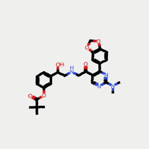 CN(C)c1ncc(C(=O)CNCC(O)c2cccc(OC(=O)C(C)(C)C)c2)c(-c2ccc3c(c2)OCO3)n1